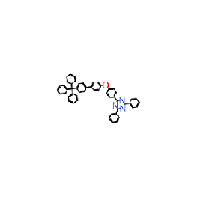 C1=CCC(C(c2ccccc2)(c2ccccc2)c2ccc(-c3ccc(Oc4ccc(-c5nc(-c6ccccc6)nc(-c6ccccc6)n5)cc4)cc3)cc2)C=C1